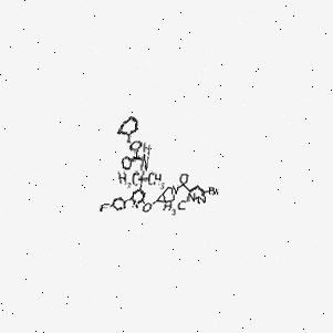 Cn1nc(Br)cc1C(=O)N1CC2C(C1)C2Oc1cc(C(C)(C)NC(=O)OCc2ccccc2)cc(-c2ccc(F)cc2)n1